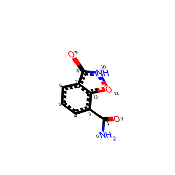 NC(=O)c1cccc2c(=O)[nH]oc12